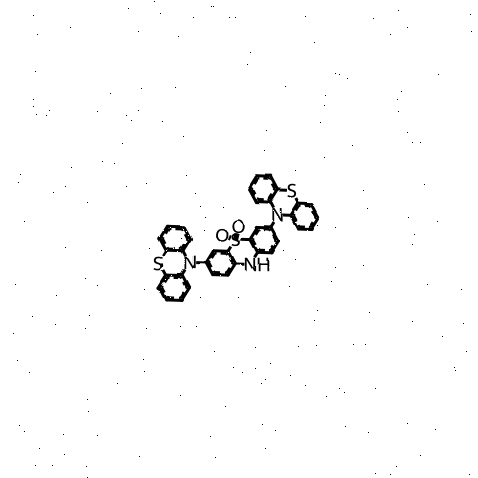 O=S1(=O)c2cc(N3c4ccccc4Sc4ccccc43)ccc2Nc2ccc(N3c4ccccc4Sc4ccccc43)cc21